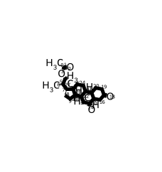 CC(=O)OC[C@@H](C)[C@H]1CC[C@H]2[C@@H]3CC(=O)[C@H]4CC(=O)CC[C@]4(C)[C@H]3CC[C@]12C